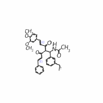 COc1ccc(/C=C/C(=O)C(C(=O)/C=C/c2ccccc2)C(NC(C)=O)c2cccc(CF)c2)cc1OC